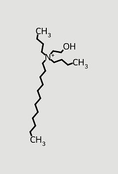 CCCCCCCCCCCC[N+](CCO)(CCCC)CCCC